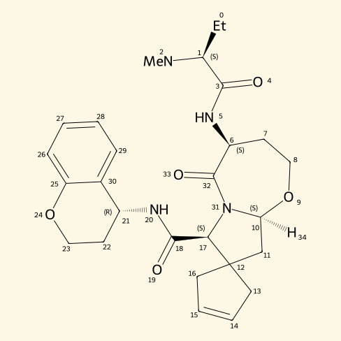 CC[C@H](NC)C(=O)N[C@H]1CCO[C@H]2CC3(CC=CC3)[C@@H](C(=O)N[C@@H]3CCOc4ccccc43)N2C1=O